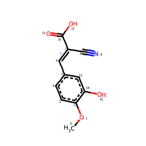 COc1ccc(/C=C(\C#N)C(=O)O)cc1O